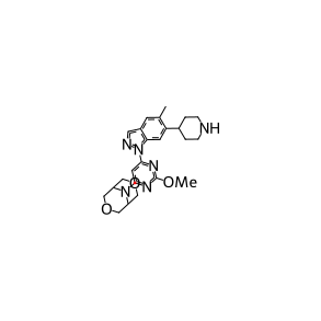 COc1nc(N2C3COCC2COC3)cc(-n2ncc3cc(C)c(C4CCNCC4)cc32)n1